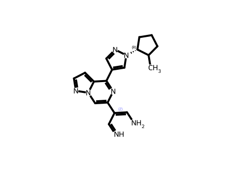 CC1CCC[C@H]1n1cc(-c2nc(/C(C=N)=C/N)cn3nccc23)cn1